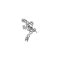 COc1ccc(CN(C(=O)OC(C)(C)C)c2cc(C[C@H]3C(=O)N(C(=O)N4CCCC(c5ccc(OC(F)(F)F)cc5)C4)[C@@H]3C(N)=O)ccn2)cc1